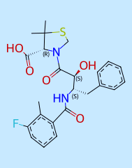 Cc1c(F)cccc1C(=O)N[C@@H](Cc1ccccc1)[C@H](O)C(=O)N1CSC(C)(C)[C@H]1C(=O)O